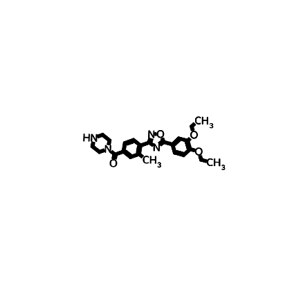 CCOc1ccc(-c2nc(-c3ccc(C(=O)N4CCNCC4)cc3C)no2)cc1OCC